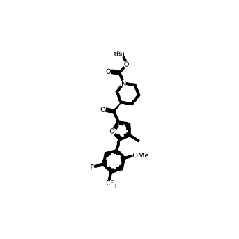 COc1cc(C(F)(F)F)c(F)cc1-c1oc(C(=O)[C@@H]2CCCN(C(=O)OC(C)(C)C)C2)cc1C